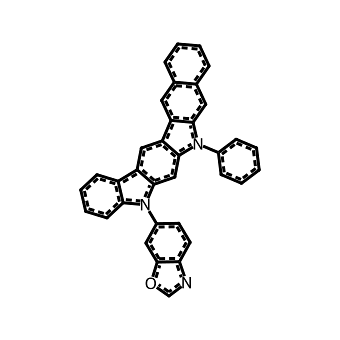 c1ccc(-n2c3cc4ccccc4cc3c3cc4c5ccccc5n(-c5ccc6ncoc6c5)c4cc32)cc1